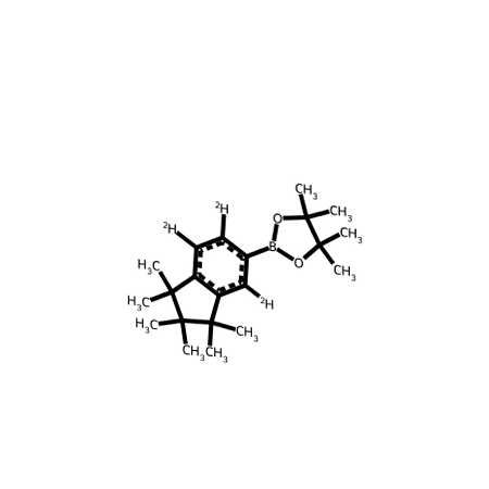 [2H]c1c([2H])c2c(c([2H])c1B1OC(C)(C)C(C)(C)O1)C(C)(C)C(C)(C)C2(C)C